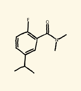 CC(C)c1ccc(F)c(C(=O)N(C)C)c1